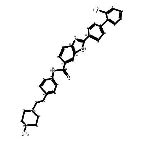 Cc1ccccc1-c1ccc(-c2nc3ccc(C(=O)Nc4ccc(CCN5CCN(C)CC5)cc4)cc3[nH]2)cc1